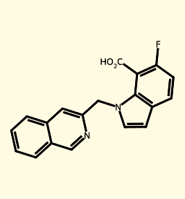 O=C(O)c1c(F)ccc2ccn(Cc3cc4ccccc4cn3)c12